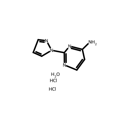 Cl.Cl.Nc1ccnc(-n2cccn2)n1.O